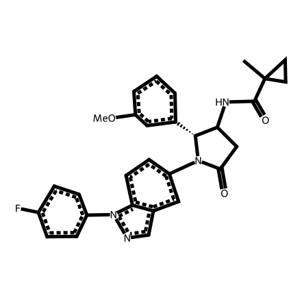 COc1cccc([C@@H]2C(NC(=O)C3(C)CC3)CC(=O)N2c2ccc3c(cnn3-c3ccc(F)cc3)c2)c1